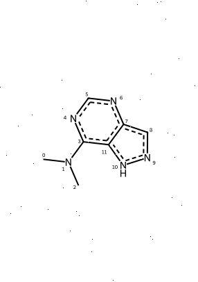 CN(C)c1ncnc2cn[nH]c12